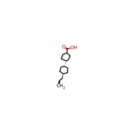 C=CC[C@H]1CC[C@H](C2CCC(C(=O)O)CC2)CC1